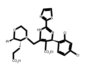 CCOC(=O)C1=C(CN2CCO[C@H](C(C)C)[C@H]2CCC(=O)O)NC(c2nccs2)=N[C@H]1c1ccc(Cl)cc1Cl